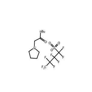 CCCCC(=O)C[S+]1CCCC1.O=S(=O)([O-])C(F)(F)C(F)(F)C(F)(F)C(F)(F)F